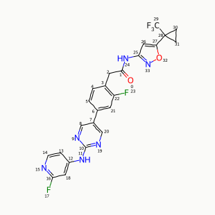 O=C(Cc1ccc(-c2cnc(Nc3ccnc(F)c3)nc2)cc1F)Nc1cc(C2(C(F)(F)F)CC2)on1